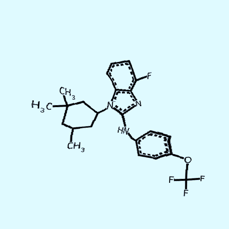 CC1CC(n2c(Nc3ccc(OC(F)(F)F)cc3)nc3c(F)cccc32)CC(C)(C)C1